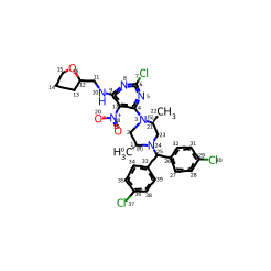 C[C@@H]1CN(c2nc(Cl)nc(NCC3CCCO3)c2[N+](=O)[O-])[C@@H](C)CN1C(c1ccc(Cl)cc1)c1ccc(Cl)cc1